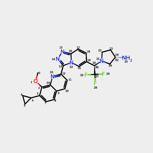 COc1c(C2CC2)ccc2ccc(-c3nnc4ccc([C@@H](N5CC[C@H](N)C5)C(F)(F)F)cn34)nc12